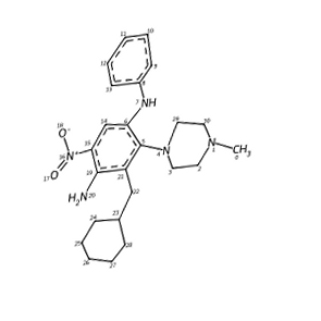 CN1CCN(c2c(Nc3ccccc3)cc([N+](=O)[O-])c(N)c2CC2CCCCC2)CC1